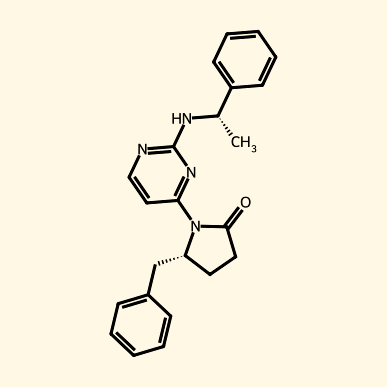 C[C@H](Nc1nccc(N2C(=O)CC[C@@H]2Cc2ccccc2)n1)c1ccccc1